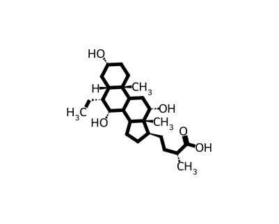 CC[C@H]1[C@@H](O)C2C3CC[C@H](CC[C@@H](C)C(=O)O)[C@@]3(C)[C@@H](O)CC2[C@@]2(C)CC[C@@H](O)C[C@@H]12